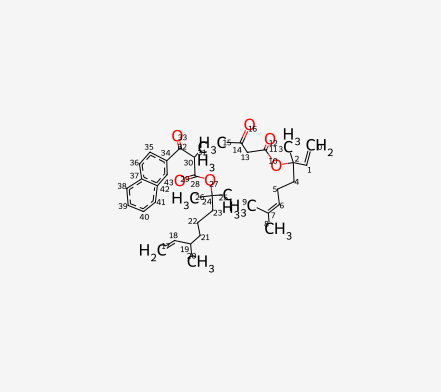 C=CC(C)(CCC=C(C)C)OC(=O)CC(C)=O.C=CC(C)CCCC(C)(C)OC(=O)C(C)C(=O)c1ccc2ccccc2c1